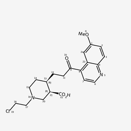 COc1ccc2nccc(C(=O)CC[C@@H]3CCN(CCCl)C[C@@H]3C(=O)O)c2c1